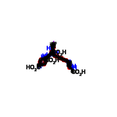 C[C@@H](CCCCNC(=O)Nc1cccc(-c2cn(CCOCCOCCOCCOCCOCCOCCC(=O)N[C@@H](CCCCNC(=S)Nc3cc(CN4CCOCCOCCN(Cc5cccc(C(=O)O)n5)CCOCCOCC4)nc(C(=O)O)c3)C(=O)N[C@@H](CCCCNC(=O)Cc3ccc(I)cc3)C(=O)O)nn2)c1)C(=O)O